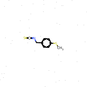 CSc1ccc(CN=C=S)cc1